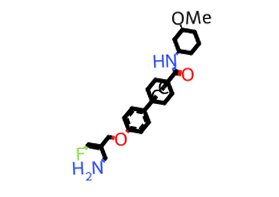 CO[C@@H]1CCC[C@@H](NC(=O)C23CCC(c4ccc(OC/C(=C/F)CN)cc4)(CC2)CC3)C1